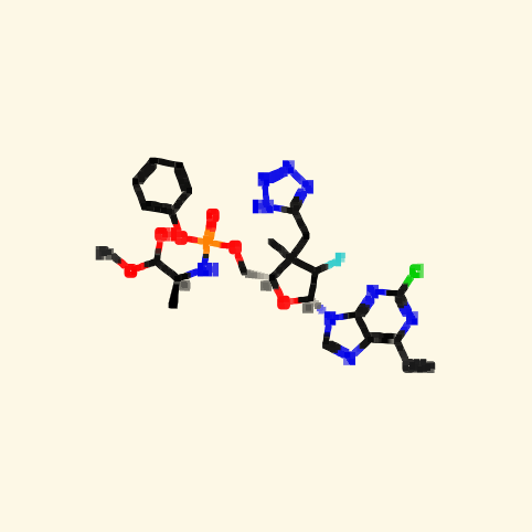 COc1nc(Cl)nc2c1ncn2[C@@H]1O[C@H](COP(=O)(N[C@@H](C)C(O)OC(C)C)Oc2ccccc2)C(C)(Cc2nnn[nH]2)C1F